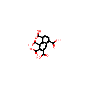 O=C(O)c1cc2c(C(=O)O)ccc(C(=O)O)c2c(C(=O)O)c1C(=O)O